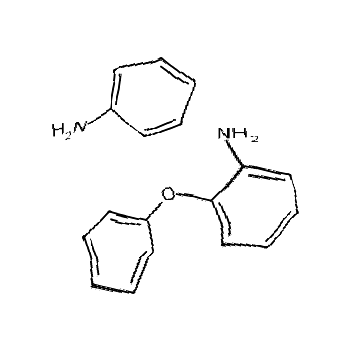 Nc1ccccc1.Nc1ccccc1Oc1ccccc1